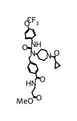 COC(=O)CCNC(=O)c1ccc(CN(C(=O)Nc2ccc(OC(F)(F)F)cc2)C2CCN(C(=O)C3CC3)CC2)cc1